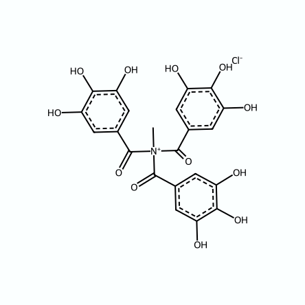 C[N+](C(=O)c1cc(O)c(O)c(O)c1)(C(=O)c1cc(O)c(O)c(O)c1)C(=O)c1cc(O)c(O)c(O)c1.[Cl-]